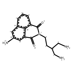 NCC(CN)CCN1C(=O)c2cccc3cc(N)cc(c23)C1=O